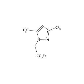 CCOC(=O)Cn1nc(C(F)(F)F)cc1C(F)(F)F